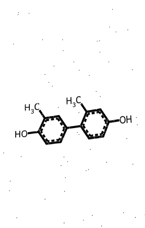 Cc1cc(-c2ccc(O)cc2C)ccc1O